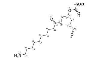 CCCCCCCCC(=O)O[C@H](COP=O)COC(=O)CCCCCCCCCN